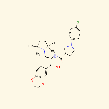 BC1(B)CCC(B)(B)N1C[C@@H](NC(=O)C1CCN(c2ccc(Cl)cc2)C1)[C@H](O)c1ccc2c(c1)OCCO2